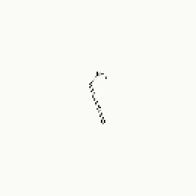 NC=C=C=O